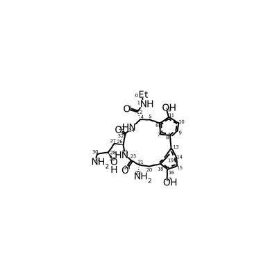 CCNC(=O)[C@@H]1Cc2cc(ccc2O)-c2ccc(O)c(c2)C[C@H](N)C(=O)N[C@@H](C[C@@H](O)CN)C(=O)N1